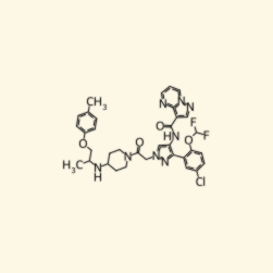 Cc1ccc(OCC(C)NC2CCN(C(=O)Cn3cc(NC(=O)c4cnn5cccnc45)c(-c4cc(Cl)ccc4OC(F)F)n3)CC2)cc1